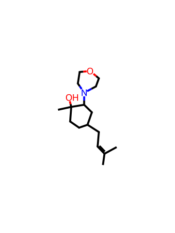 CC(C)=CCC1CCC(C)(O)C(N2CCOCC2)C1